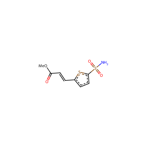 COC(=O)C=Cc1ccc(S(N)(=O)=O)s1